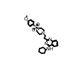 COc1ccc(S(=O)(=O)N2CCN(CCc3nc(NC4CCCCC4)c4ccccc4n3)CC2)cc1